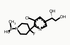 CB(O)N1CCC(F)(c2ncc([C@H](O)CO)cc2Cl)CC1